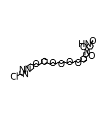 O=C1CCC(N2Cc3cc(OCCOCCOCCOCc4cccc(COC5CCN(c6ncc(Cl)cn6)CC5)c4)ccc3C2=O)C(=O)N1